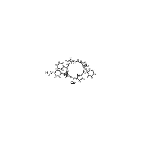 Nc1ccc(-c2cc3cc4nc(c(-c5ccccc5)c5ccc(cc6nc(c(-c7ccccc7)c2[nH]3)C=C6)[nH]5)C=C4)cc1.[Cu]